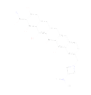 CN(C)C1CN(Cc2ccc3cc4c(c(O)c3c2)C(=O)C2=C(O)C3C(=O)C(C(N)=O)=C(O)CC3CC2C4)C1